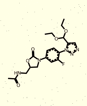 CCOC(OCC)c1cnnn1-c1ccc(N2CC(CNC(C)=O)OC2=O)cc1F